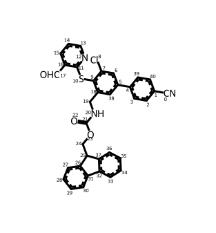 N#Cc1ccc(-c2cc(Cl)c(Sc3ncccc3C=O)c(CNC(=O)OCC3c4ccccc4-c4ccccc43)c2)cc1